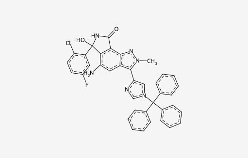 Cn1nc2c3c(c(N)cc2c1-c1cn(C(c2ccccc2)(c2ccccc2)c2ccccc2)cn1)C(O)(c1cc(F)ccc1Cl)NC3=O